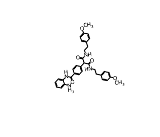 COc1ccc(CCNC(=O)C(C(=O)NCCc2ccc(OC)cc2)c2ccc(C(=O)Nc3ccccc3N)cc2)cc1